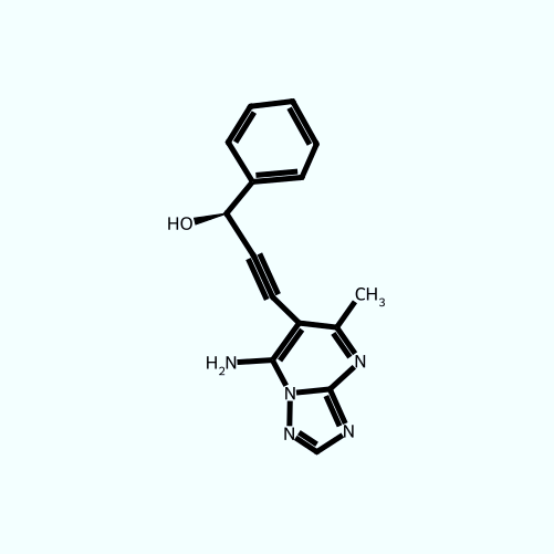 Cc1nc2ncnn2c(N)c1C#C[C@@H](O)c1ccccc1